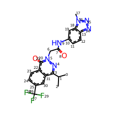 CC(C)c1nn(CC(=O)Nc2ccc3nnn(C)c3c2)c(=O)c2ccc(C(F)(F)F)cc12